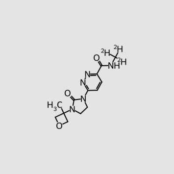 [2H]C([2H])([2H])NC(=O)c1ccc(N2CCN(C3(C)COC3)C2=O)nn1